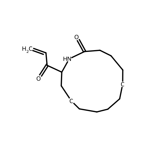 C=CC(=O)C1CCCCCCCCCCC(=O)N1